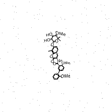 COc1ccc(-c2ccccc2OC)cc1C(=O)Nc1cc2ccc(O[C@@H]3OC(C)(C)[C@H](OC)[C@@H](O)[C@H]3O)c(C)c2oc1=O